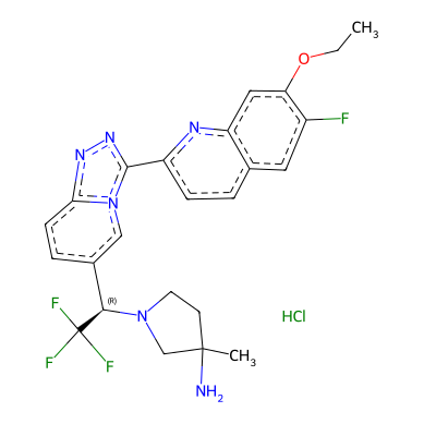 CCOc1cc2nc(-c3nnc4ccc([C@@H](N5CCC(C)(N)C5)C(F)(F)F)cn34)ccc2cc1F.Cl